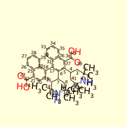 CC1(C)CC(c2c(C3CC(C)(C)NC(C)(C)C3)c(-c3ccc(C(=O)O)c4ccccc34)c3ccccc3c2C(=O)O)CC(C)(C)N1